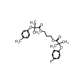 Cc1ccc(OC(C)(C)C(=O)OCCCOC(=O)C(C)(C)Oc2ccc(F)cc2)cc1